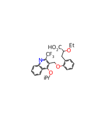 CCOC(Cc1ccccc1OCc1c(C(F)(F)F)nc2ccccc2c1OC(C)C)C(=O)O